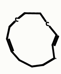 [CH]1/C=C/CCCCC/C=C\CCC1